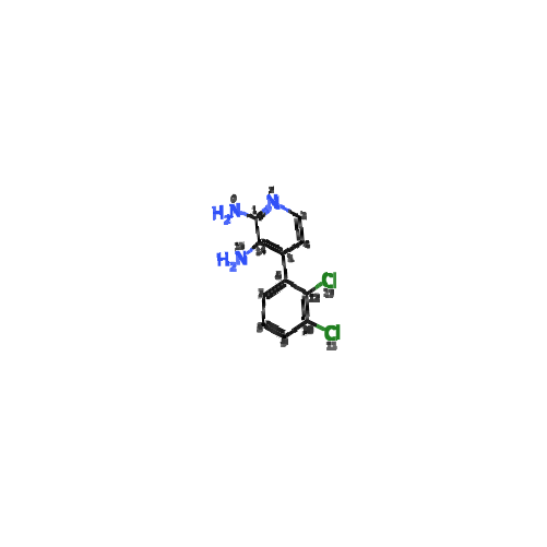 Nc1nccc(-c2cccc(Cl)c2Cl)c1N